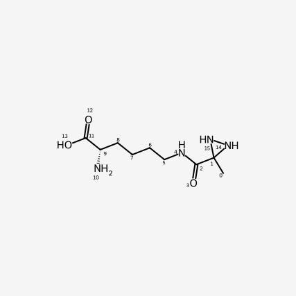 CC1(C(=O)NCCCC[C@H](N)C(=O)O)NN1